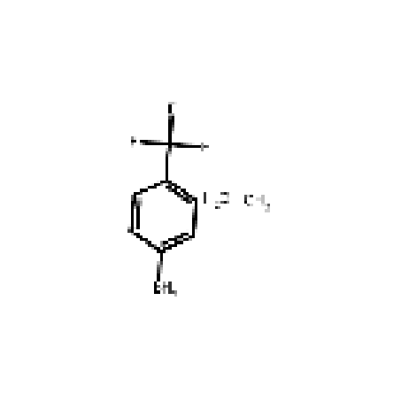 Bc1ccc(C(F)(F)F)cc1.O.O